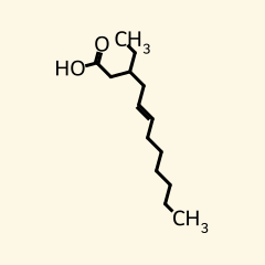 CCCCCCC=CCC(CC)CC(=O)O